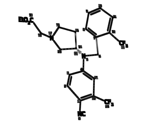 [C-]#[N+]c1ccc(N(Cc2ccccc2C(F)(F)F)[C@H]2CCN(CC(=O)OCC)C2)cc1C(F)(F)F